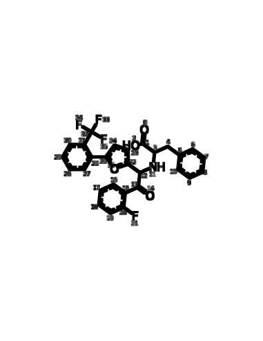 O=C(O)C(Cc1ccccc1)NC(C(=O)c1ccccc1F)c1ccc(-c2ccccc2C(F)(F)F)o1